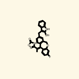 CCCc1[nH]c2ccccc2c1Cc1ccc2c(c1)COc1cc(F)ccc1/C2=C(\C)c1noc(=O)[nH]1